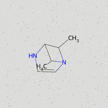 CC1C2NC=CN1C2C